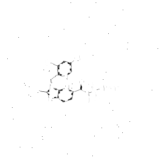 CCCCCS(=O)(=O)NC(=O)c1ccc2nc(C)n(Cc3ncc(C(F)(F)F)cc3Cl)c2n1